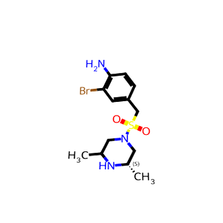 CC1CN(S(=O)(=O)Cc2ccc(N)c(Br)c2)C[C@H](C)N1